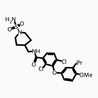 COc1ccc(Oc2c(Cl)ccc(C(=O)NCC3CCN(S(N)(=O)=O)CC3)c2Cl)cc1C(C)C